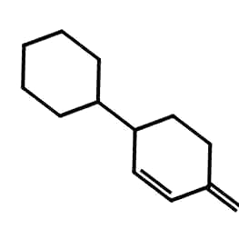 O=C1C=CC(C2CCCCC2)CC1